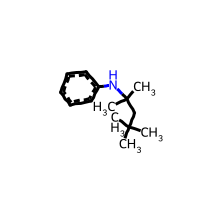 CC(C)(C)CC(C)(C)Nc1ccccc1